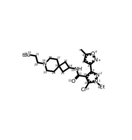 CCn1nc(-c2cc(C)on2)c(C(=O)NC2CC3(CCN(CCC(C)(C)C)CC3)C2)c1Cl